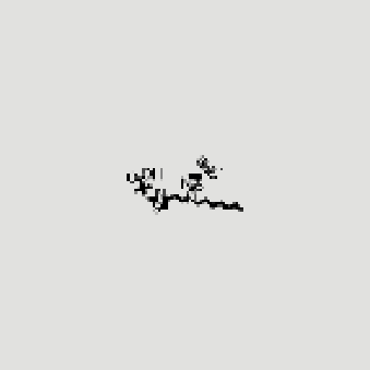 CCCCCCCN(CCc1csc(SC(C)(C)C(=O)O)n1)c1ncc([N+](=O)[O-])s1